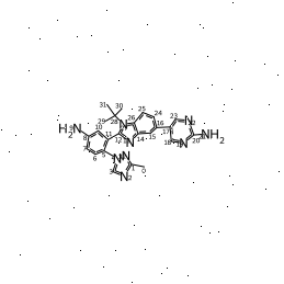 Cc1ncn(-c2ccc(N)cc2-c2nc3cc(-c4cnc(N)nc4)ccc3n2C(C)(C)C)n1